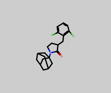 O=C1C(Cc2c(Cl)cccc2Cl)CCN1C12CC3CC(CC(C3)C1)C2